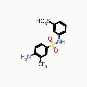 Nc1ccc(S(=O)(=O)Nc2cccc(S(=O)(=O)O)c2)cc1C(F)(F)F